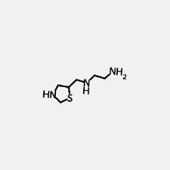 NCCNCC1CNCS1